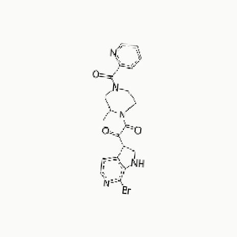 CC1CN(C(=O)c2ccccn2)CCN1C(=O)C(=O)C1CNc2c1ccnc2Br